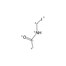 CC(=O)N[CH]I